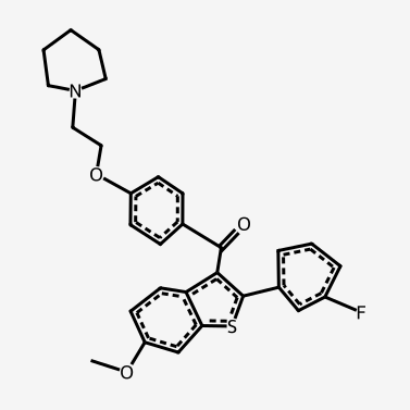 COc1ccc2c(C(=O)c3ccc(OCCN4CCCCC4)cc3)c(-c3cccc(F)c3)sc2c1